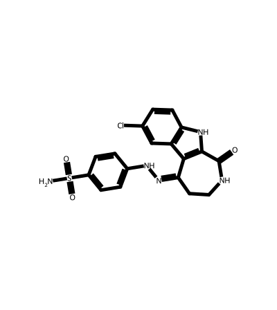 NS(=O)(=O)c1ccc(N/N=C2/CCNC(=O)c3[nH]c4ccc(Cl)cc4c32)cc1